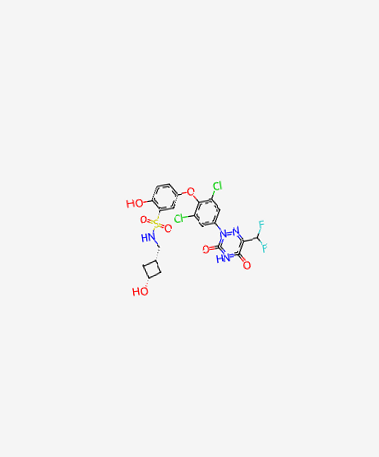 O=c1[nH]c(=O)n(-c2cc(Cl)c(Oc3ccc(O)c(S(=O)(=O)NC[C@H]4C[C@@H](O)C4)c3)c(Cl)c2)nc1C(F)F